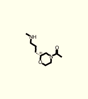 CNCCC[C@@H]1CN(C(C)=O)CCO1